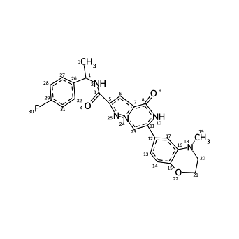 CC(NC(=O)c1cc2c(=O)[nH]c(-c3ccc4c(c3)N(C)CCO4)cn2n1)c1ccc(F)cc1